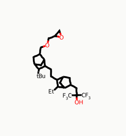 CCC1C(CCC2C3CC(CC3COCC3CO3)C2C(C)(C)C)C2CC(CC(O)(C(F)(F)F)C(F)(F)F)C1C2